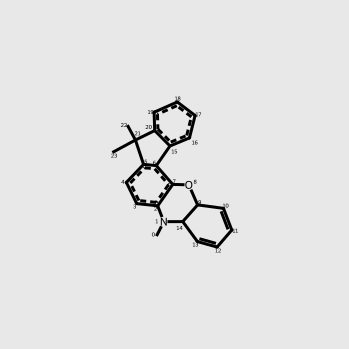 CN1c2ccc3c(c2OC2C=CC=CC21)-c1ccccc1C3(C)C